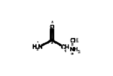 N.NC(=O)O.[CH]